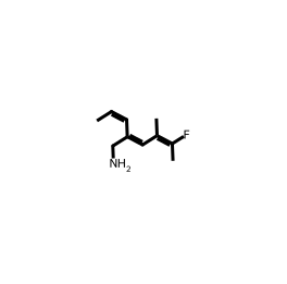 C\C=C/C(=C\C(C)=C(/C)F)CN